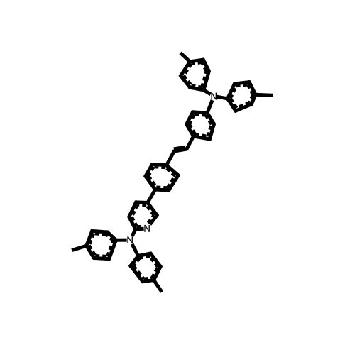 Cc1ccc(N(c2ccc(C)cc2)c2ccc(/C=C/c3ccc(-c4ccc(N(c5ccc(C)cc5)c5ccc(C)cc5)nc4)cc3)cc2)cc1